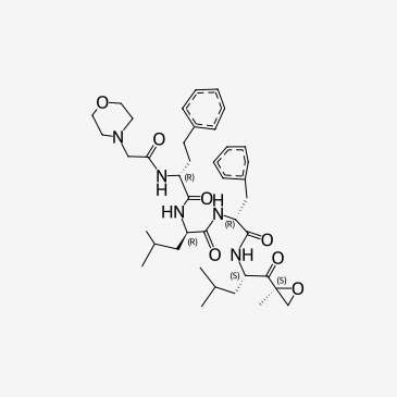 CC(C)C[C@H](NC(=O)[C@@H](Cc1ccccc1)NC(=O)[C@@H](CC(C)C)NC(=O)[C@@H](CCc1ccccc1)NC(=O)CN1CCOCC1)C(=O)[C@]1(C)CO1